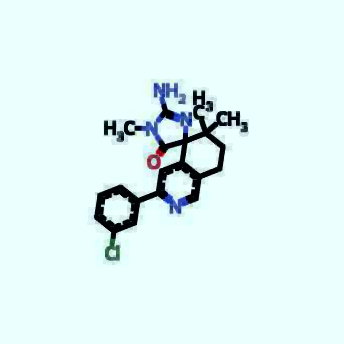 CN1C(=O)C2(N=C1N)c1cc(-c3cccc(Cl)c3)ncc1CCC2(C)C